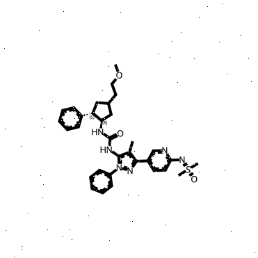 COCCC1C[C@@H](NC(=O)Nc2c(C)c(-c3ccc(N=S(C)(C)=O)nc3)nn2-c2ccccc2)[C@H](c2ccccc2)C1